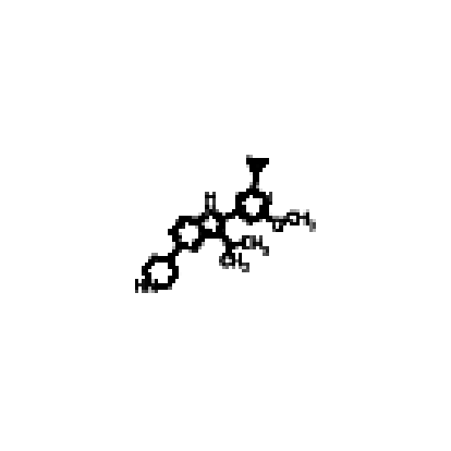 COc1cc(-c2[nH]c3ccc(C4CCNCC4)cc3c2C(C)C)cc(C2CC2)n1